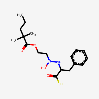 CCCC(C)(C)C(=O)OCCN(O)NC(Cc1ccccc1)C(=O)S